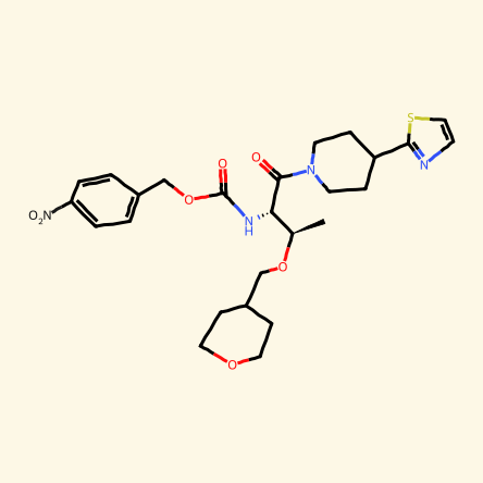 C[C@@H](OCC1CCOCC1)[C@H](NC(=O)OCc1ccc([N+](=O)[O-])cc1)C(=O)N1CCC(c2nccs2)CC1